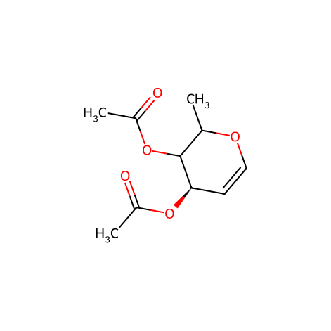 CC(=O)OC1C(C)OC=C[C@H]1OC(C)=O